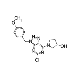 COc1ccc(Cn2nnc3c(N4CCC(O)C4)nc(Cl)nc32)cc1